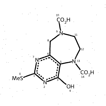 CSc1nc(O)c2c(n1)CN(C(=O)O)CCN2C(=O)O